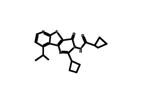 CC(C)c1ccnc2sc3c(=O)n(NC(=O)C4CCC4)c(C4CCC4)nc3c12